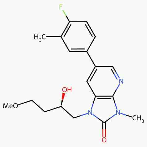 COCC[C@@H](O)Cn1c(=O)n(C)c2ncc(-c3ccc(F)c(C)c3)cc21